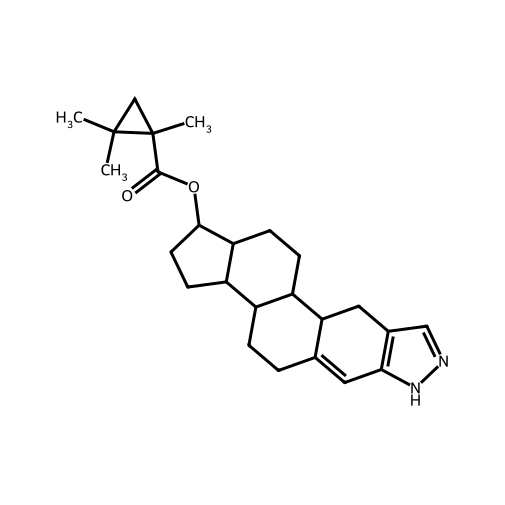 CC1(C)CC1(C)C(=O)OC1CCC2C1CCC1C3Cc4cn[nH]c4C=C3CCC12